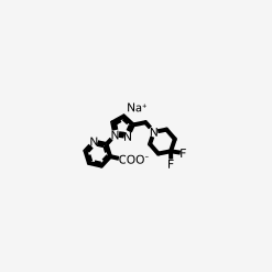 O=C([O-])c1cccnc1-n1ccc(CN2CCC(F)(F)CC2)n1.[Na+]